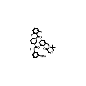 Cc1cccc(F)c1C(=O)N1CCC[C@H](C(=O)Nc2cccc(C(C)(C)C)c2)[C@@H]1C1C=CC(CN2C(=O)COCC2(C)C)=CC1